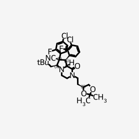 CC(C)(C)C[C@@H]1N2CCN(CC[C@H]3COC(C)(C)O3)C(=O)[C@H]2[C@H](c2cccc(Cl)c2F)[C@@]1(C#N)c1ccc(Cl)cc1F